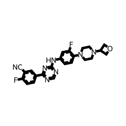 N#Cc1cc(-c2ncnc(Nc3ccc(N4CCN(C5COC5)CC4)c(F)c3)n2)ccc1F